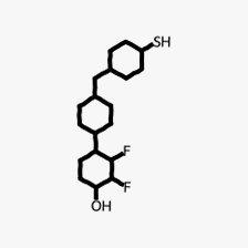 OC1CCC(C2CCC(CC3CCC(S)CC3)CC2)C(F)C1F